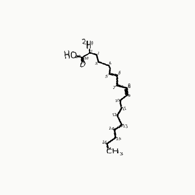 [2H]C(CCCCCC/C=C\CCCCCCCC)C(=O)O